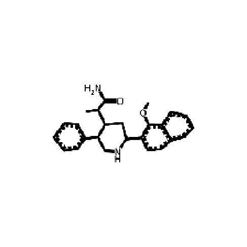 COc1c(C2CC(C(C)C(N)=O)C(c3ccccc3)CN2)ccc2ccccc12